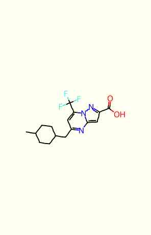 CC1CCC(Cc2cc(C(F)(F)F)n3nc(C(=O)O)cc3n2)CC1